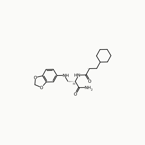 NC(=O)[C@H](CNc1ccc2c(c1)OCO2)NC(=O)[CH]CC1CCCCC1